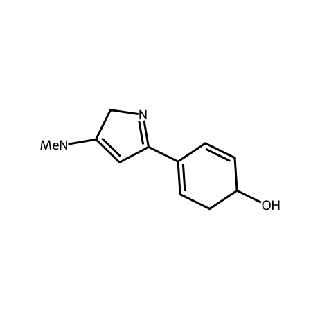 CNC1=CC(C2=CCC(O)C=C2)=NC1